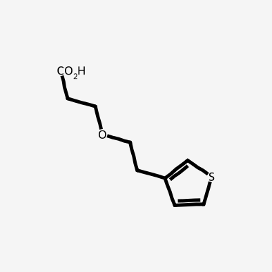 O=C(O)CCOCCc1ccsc1